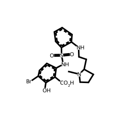 CN1CCCC1CCNc1ccccc1S(=O)(=O)Nc1ccc(Br)c(O)c1C(=O)O